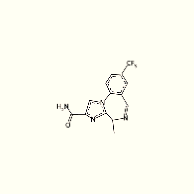 CC1N=Cc2cc(C(F)(F)F)ccc2-n2cc(C(N)=O)nc21